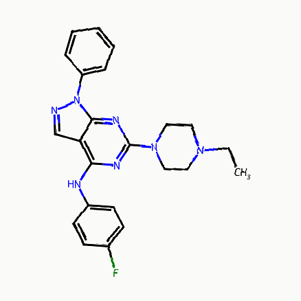 CCN1CCN(c2nc(Nc3ccc(F)cc3)c3cnn(-c4ccccc4)c3n2)CC1